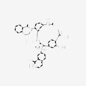 Cc1cc2ccc1[C@@H](C)COC(=O)Nc1ccc(N3CCc4ccccc4C3=O)c(c1)CN(C)C(=O)[C@@H]2Nc1ccc2cc[nH]c(=O)c2c1